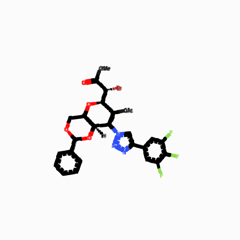 COC(=O)[C@H](Br)[C@@H]1OC2COC(c3ccccc3)O[C@@H]2C(n2cc(-c3cc(F)c(F)c(F)c3)nn2)C1OC(C)=O